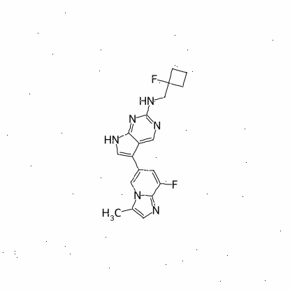 Cc1cnc2c(F)cc(-c3c[nH]c4nc(NCC5(F)CCC5)ncc34)cn12